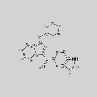 O=C(c1cn(CC2CCCCC2)c2ccccc12)C1CCc2[nH]cnc2C1